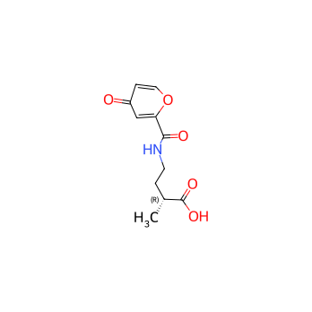 C[C@H](CCNC(=O)c1cc(=O)cco1)C(=O)O